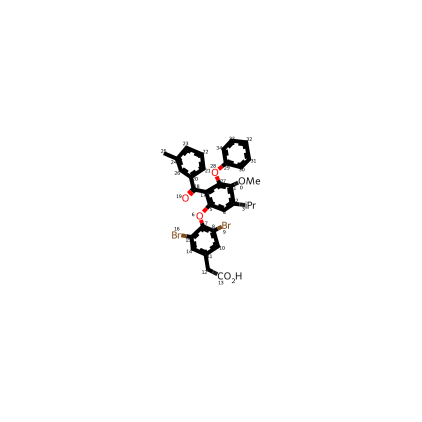 COc1c(C(C)C)cc(Oc2c(Br)cc(CC(=O)O)cc2Br)c(C(=O)c2cccc(C)c2)c1Oc1ccccc1